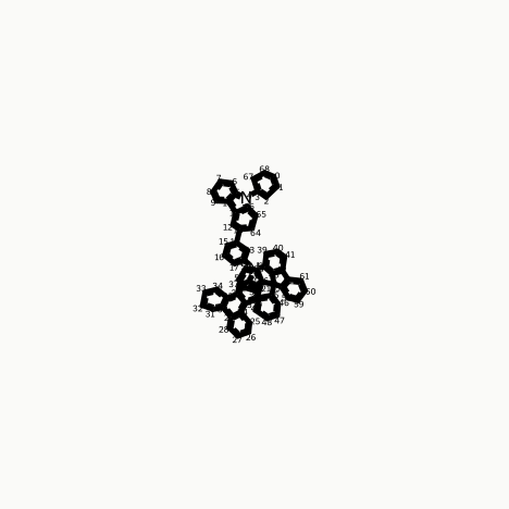 c1ccc(-n2c3ccccc3c3cc(-c4cccc(N(c5ccc6c7ccccc7c7ccccc7c6c5)c5cccc6c5C5(c7ccccc7-c7ccccc75)c5ccccc5-6)c4)ccc32)cc1